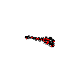 CC(=O)O[C@@]12COC1C[C@H](OC(=O)CCC(=O)OCOC(=O)COCCOCCSSc1ccccn1)[C@@]1(C)C(=O)[C@H](C)C3=C(C)[C@@H](OC(=O)[C@H](O)[C@@H](NC(=O)c4ccccc4)c4ccccc4)C[C@@](O)([C@@H](OC(=O)c4ccccc4)[C@@H]12)C3(C)C